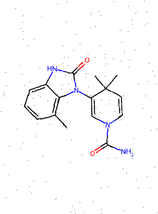 Cc1cccc2[nH]c(=O)n(C3=CN(C(N)=O)C=CC3(C)C)c12